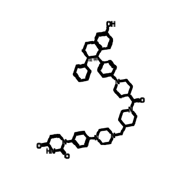 O=C(C1CCN(c2ccc([C@@H]3c4ccc(O)cc4CC[C@@H]3c3ccccc3)cc2)CC1)N1CCC(CN2CCN(c3ccc(-n4ccc(=O)[nH]c4=O)cc3)CC2)CC1